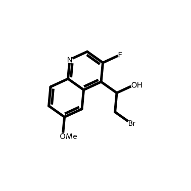 COc1ccc2ncc(F)c(C(O)CBr)c2c1